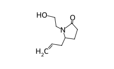 C=CCC1CCC(=O)N1CCO